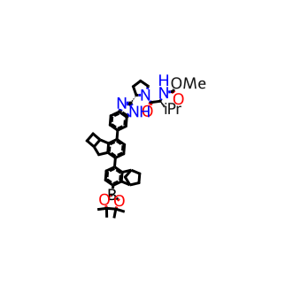 COC(=O)N[C@H](C(=O)N1CCC[C@H]1c1nc2ccc(-c3ccc(-c4ccc(B5OC(C)(C)C(C)(C)O5)c5c4C4CCC5C4)c4c3C3CCC3C4)cc2[nH]1)C(C)C